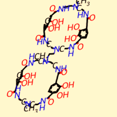 CC1CN(CCN2CCNC(=O)c3ccc(c(O)c3O)C(=O)NCCN(C)CCNC(=O)c3ccc(c(O)c3O)C(=O)NCC2)CCNC(=O)c2ccc(c(O)c2O)C(=O)NCCN(C)CCNC(=O)c2ccc(c(O)c2O)C(=O)N1